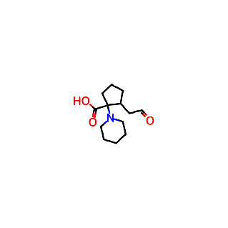 O=CCC1CCCC1(C(=O)O)N1CCCCC1